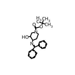 CC(C)(C)OC(=O)N1CCC(N=C(c2ccccc2)c2ccccc2)C(O)C1